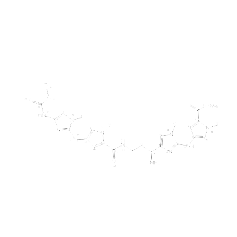 COC(=O)c1cc(Nc2nc(C(N)CCNC(=O)c3cc(Nc4nc(NC(=O)OC(C)(C)C)cn4C)cn3C)cn2C)cn1C